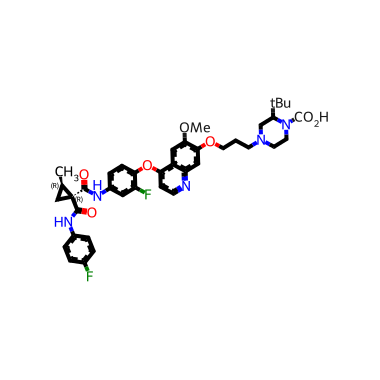 COc1cc2c(Oc3ccc(NC(=O)[C@]4(C(=O)Nc5ccc(F)cc5)C[C@H]4C)cc3F)ccnc2cc1OCCCN1CCN(C(=O)O)C(C(C)(C)C)C1